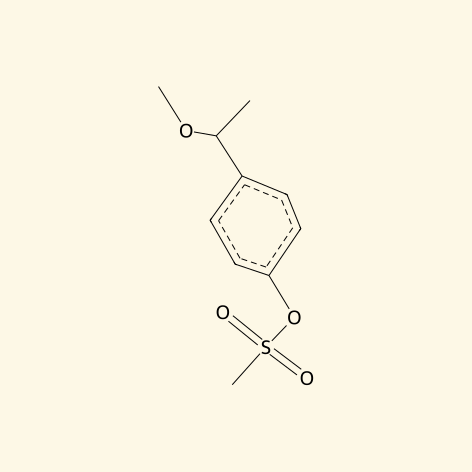 COC(C)c1ccc(OS(C)(=O)=O)cc1